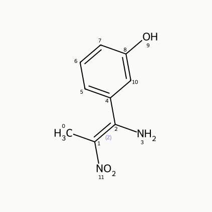 C/C(=C(/N)c1cccc(O)c1)[N+](=O)[O-]